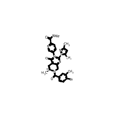 CNC(=O)c1ccc(-n2c(-n3nc(C)cc3C)nc3c(c2=O)C[C@@H](C)N(C(=O)c2ccc(Br)c(C)c2)C3)cn1